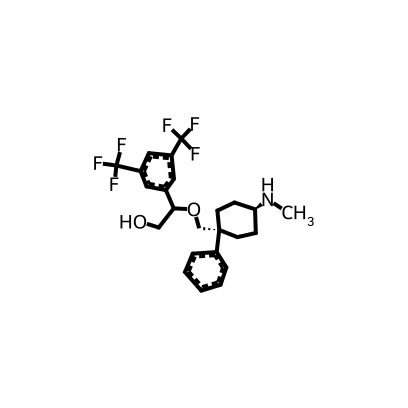 CN[C@H]1CC[C@@](COC(CO)c2cc(C(F)(F)F)cc(C(F)(F)F)c2)(c2ccccc2)CC1